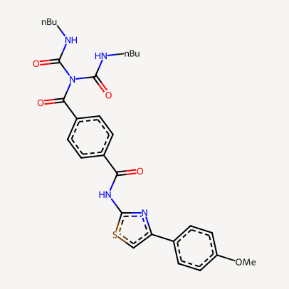 CCCCNC(=O)N(C(=O)NCCCC)C(=O)c1ccc(C(=O)Nc2nc(-c3ccc(OC)cc3)cs2)cc1